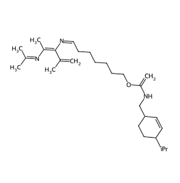 C=C(NCC1C=CC(C(C)C)CC1)OCCCCCC/C=N\C(C(=C)C)=C(/C)N=C(C)C